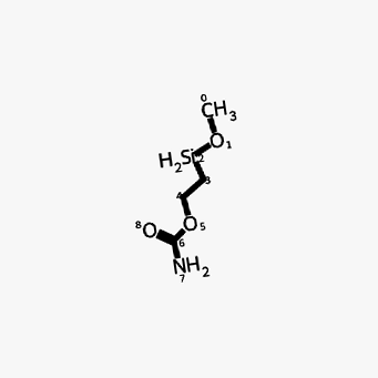 CO[SiH2]CCOC(N)=O